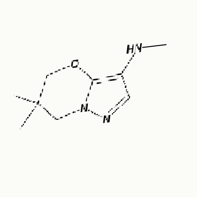 CNc1cnn2c1OCC(C)(C)C2